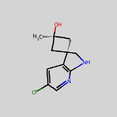 C[C@]1(O)C[C@@]2(CNc3ncc(Cl)cc32)C1